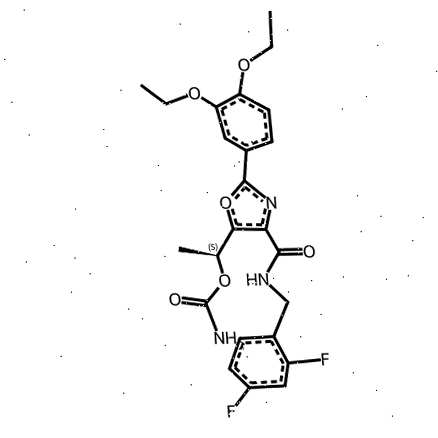 CCOc1ccc(-c2nc(C(=O)NCc3ccc(F)cc3F)c([C@H](C)OC(N)=O)o2)cc1OCC